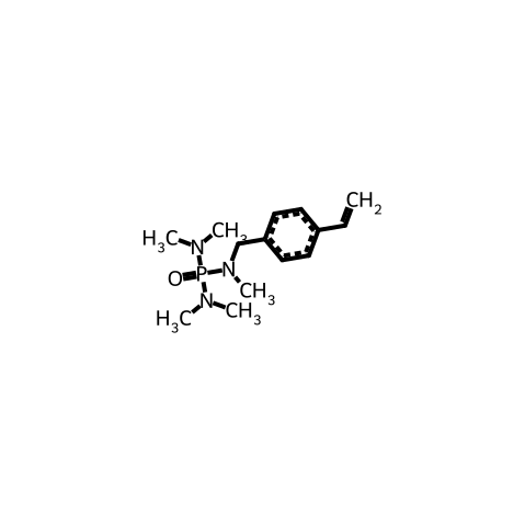 C=Cc1ccc(CN(C)P(=O)(N(C)C)N(C)C)cc1